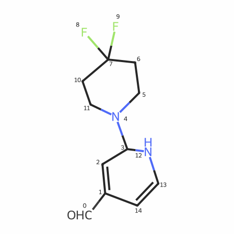 O=CC1=CC(N2CCC(F)(F)CC2)NC=C1